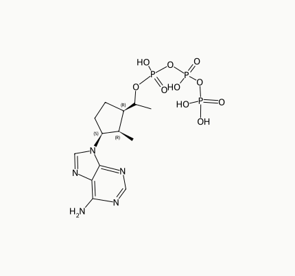 CC(OP(=O)(O)OP(=O)(O)OP(=O)(O)O)[C@@H]1CC[C@H](n2cnc3c(N)ncnc32)[C@@H]1C